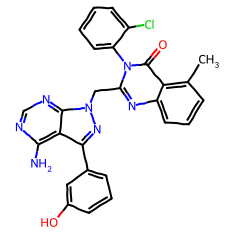 Cc1cccc2nc(Cn3nc(-c4cccc(O)c4)c4c(N)ncnc43)n(-c3ccccc3Cl)c(=O)c12